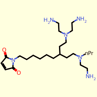 CCCN(CCN)CCC(CCCCCCN1C(=O)C=CC1=O)CCN(CCN)CCN